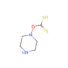 S=C(S)ON1CCNCC1